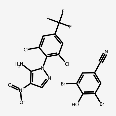 N#Cc1cc(Br)c(O)c(Br)c1.Nc1c([N+](=O)[O-])cnn1-c1c(Cl)cc(C(F)(F)F)cc1Cl